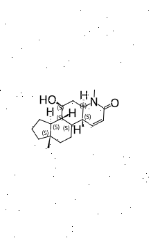 CN1C(=O)C=C[C@]2(C)[C@H]3CC[C@]4(C)CCC[C@H]4[C@@H]3[C@@H](O)C[C@@H]12